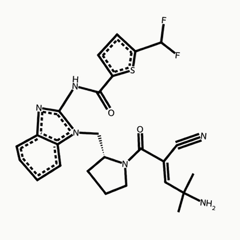 CC(C)(N)/C=C(\C#N)C(=O)N1CCC[C@@H]1Cn1c(NC(=O)c2ccc(C(F)F)s2)nc2ccccc21